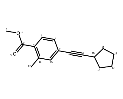 COC(=O)c1ccc(C#CC2CCCC2)cc1C